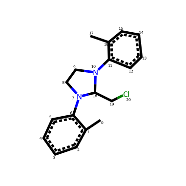 Cc1ccccc1N1CCN(c2ccccc2C)C1CCl